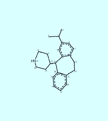 CC(C)c1ccc2c(c1)C(C1CCNCC1)c1ccccc1CC2